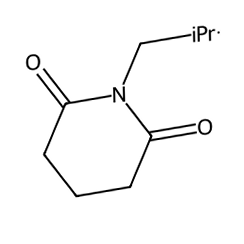 C[C](C)CN1C(=O)CCCC1=O